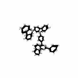 c1ccc(-c2nc(-c3ccc(-n4c5ccccc5c5ccc(-n6c7ccccc7c7ccccc76)cc54)cc3)c3ccc4ccccc4c3n2)cc1